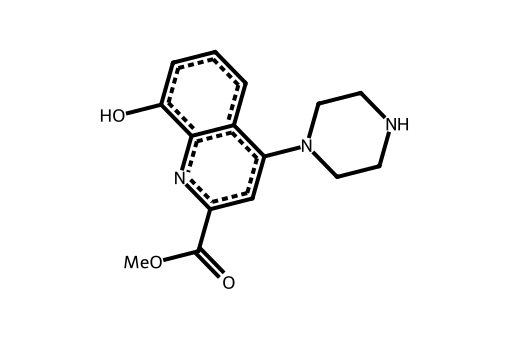 COC(=O)c1cc(N2CCNCC2)c2cccc(O)c2n1